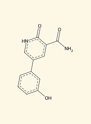 NC(=O)c1cc(-c2cccc(O)c2)c[nH]c1=O